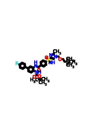 Cc1nc(S(=N)(=O)c2ccc(C(=O)Nc3cc(-c4ccc(F)cc4)ccc3NC(=O)OC(C)(C)C)cc2)cn1COCC[Si](C)(C)C